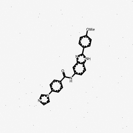 COc1ccc(-c2nc3cc(NC(=O)c4ccc(-n5ccnc5)cc4)ccc3[nH]2)cc1